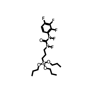 CCCO[Si](CCCN(F)C(=O)N(F)c1ccc(F)c(F)c1F)(OCCC)OCCC